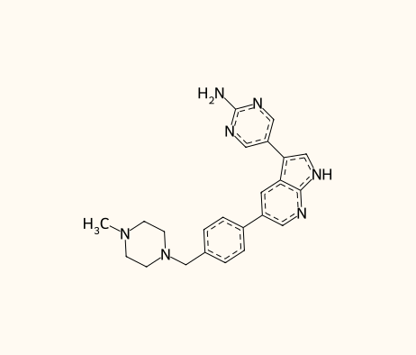 CN1CCN(Cc2ccc(-c3cnc4[nH]cc(-c5cnc(N)nc5)c4c3)cc2)CC1